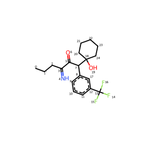 C[CH]CC(=N)C(=O)C(c1cccc(C(F)(F)F)c1)C1(O)CCCCC1